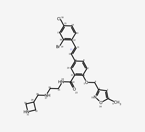 Cc1cc(COc2ccc(/C=C/c3ccc(Cl)cc3Br)cc2C(=O)NCCNCC2CNC2)no1